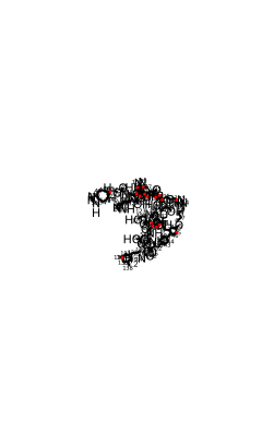 CCc1cc(OCCCCn2cc(COCCOCCOCCOCCNC(=O)OC[C@@H]3[C@@H]4CCc5[nH]nnc5CC[C@@H]43)nn2)ccc1-c1ccc(C[C@H](NC(=O)[C@H](CC(=O)O)NC(=O)[C@H](CO)NC(=O)[C@@H](NC(=O)[C@](C)(Cc2ccccc2F)NC(=O)[C@@H](NC(=O)CNC(=O)[C@H](Cc2nn[nH]n2)NC(=O)C(C)(C)C(=O)NCCc2cnc[nH]2)[C@@H](C)O)[C@@H](C)O)C(=O)N[C@@H](CCCc2cc(C)cc(C)c2)C(N)=O)cc1